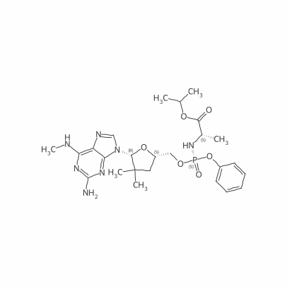 CNc1nc(N)nc2c1ncn2[C@@H]1O[C@H](CO[P@@](=O)(N[C@@H](C)C(=O)OC(C)C)Oc2ccccc2)CC1(C)C